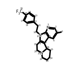 Cc1cnc2c(c1)c1c(n2CCc2ccc(C(F)(F)F)cc2)CCN2CCCCC12